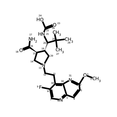 COc1ccc2ncc(F)c(CCN3C[C@@H](C(N)=O)[C@H](C(NC(=O)O)C(C)(C)C)C3)c2n1